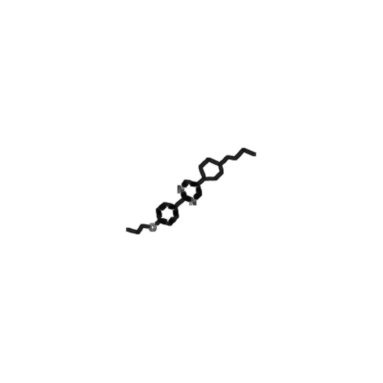 CCCCC1CCC(c2cnc(-c3ccc(OCCC)cc3)nc2)CC1